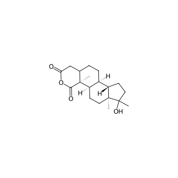 CC1(O)CC[C@H]2[C@@H]3CCC4CC(=O)OC(=O)[C@]4(C)[C@@H]3CC[C@@]21C